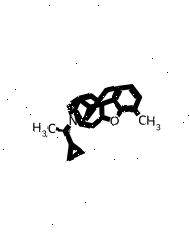 Cc1ccc2c3c1OC1CC=CC45CN([C@H](C)C6CC6)C(C2)C4C31C5